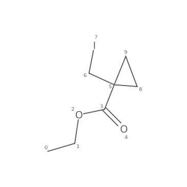 CCOC(=O)C1(CI)CC1